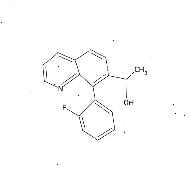 CC(O)c1ccc2cccnc2c1-c1ccccc1F